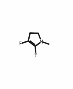 CN1CCC(F)=C1F